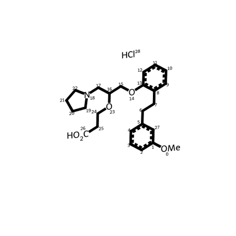 COc1cccc(CCc2ccccc2OCC(CN2CCCC2)OCCC(=O)O)c1.Cl